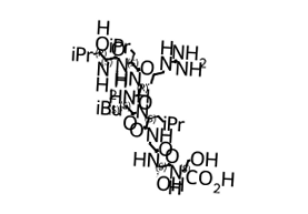 CC[C@H](C)[C@H](NC(=O)[C@@H](CCCNC(=N)N)NC(=O)[C@H](CC(C)C)NC(=O)[C@@H](N)[C@H](O)C(C)C)C(=O)N[C@@H](CC(C)C)C(=O)NCC(=O)N[C@@H](CO)C(=O)N[C@@H](CO)C(=O)O